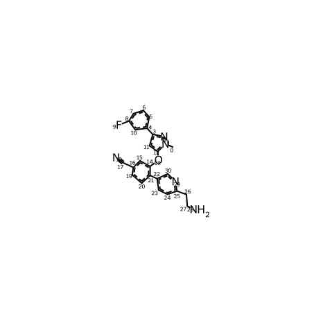 Cn1nc(-c2cccc(F)c2)cc1Oc1cc(C#N)ccc1-c1ccc(CCN)nc1